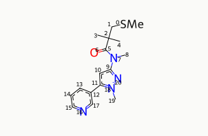 CSCC(C)(C)C(=O)N(C)c1cc(-c2cccnc2)n(C)n1